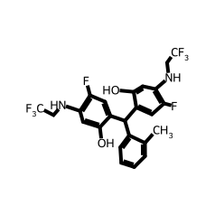 Cc1ccccc1C(c1cc(F)c(NCC(F)(F)F)cc1O)c1cc(F)c(NCC(F)(F)F)cc1O